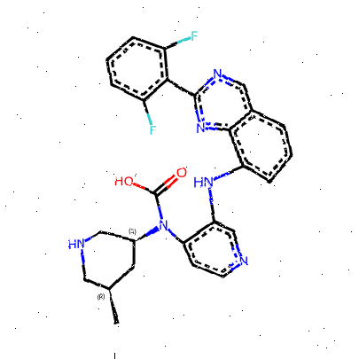 C[C@H]1CNC[C@@H](N(C(=O)O)c2ccncc2Nc2cccc3cnc(-c4c(F)cccc4F)nc23)C1